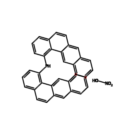 O=[N+]([O-])O.c1ccc2cc3c(ccc4cccc(Pc5cccc6ccc7cc8ccccc8cc7c56)c43)cc2c1